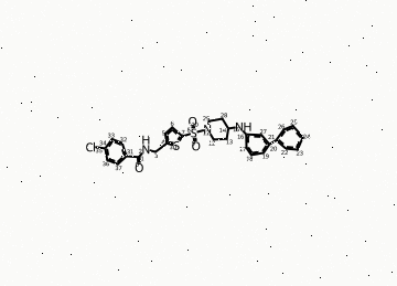 O=C(NCc1ccc(S(=O)(=O)N2CCC(Nc3cccc(-c4ccccc4)c3)CC2)s1)c1ccc(Cl)cc1